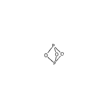 O1P2OP1O2